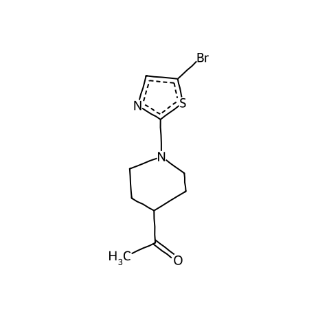 CC(=O)C1CCN(c2ncc(Br)s2)CC1